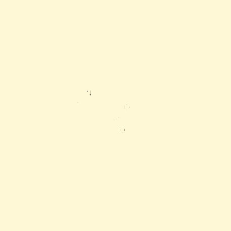 CC1=NOCC1(C)B1OC(C)(C)C(C)(C)O1